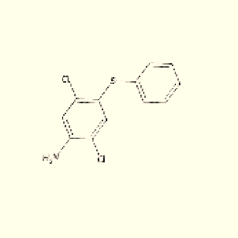 Nc1cc(Cl)c(Sc2ccccc2)cc1Cl